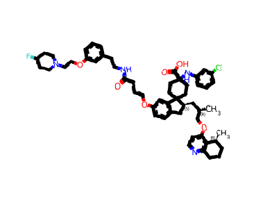 C[C@@H](COc1ccnc2c1[C@H](C)CCC2)C[C@H]1Cc2ccc(OCCCC(=O)NCCc3cccc(OCCN4CCC(F)CC4)c3)cc2C12CCC(Nc1cccc(Cl)c1)(C(=O)O)CC2